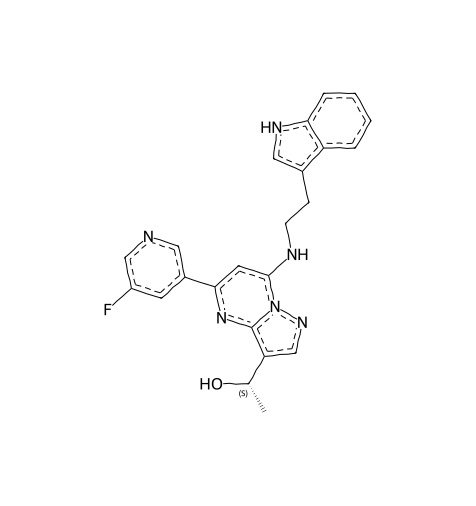 C[C@H](O)c1cnn2c(NCCc3c[nH]c4ccccc34)cc(-c3cncc(F)c3)nc12